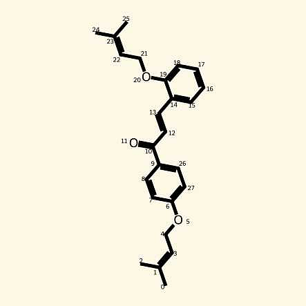 CC(C)=CCOc1ccc(C(=O)C=Cc2ccccc2OCC=C(C)C)cc1